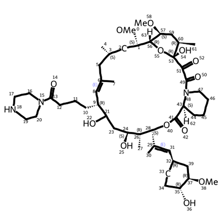 CO[C@H]1C[C@@H](C)C/C(C)=C/[C@@H](CCCC(=O)N2CCNCC2)C(O)C[C@H](O)[C@@H](C)[C@@H](/C(C)=C/[C@@H]2CC[C@@H](O)[C@H](OC)C2)OC(=O)[C@@H]2CCCCN2C(=O)C(=O)[C@]2(O)O[C@H]1[C@@H](OC)C[C@H]2C